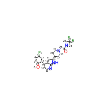 COc1ccc(F)cc1-c1ccnc2[nH]c(C3CCN(CC(=O)N4CC(F)(F)C4)CC3)cc12